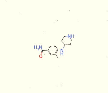 Cc1cc(C(N)=O)ccc1NC1CCNCC1